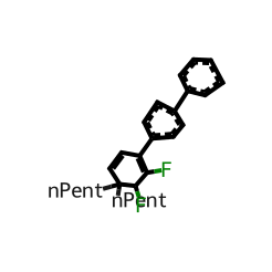 CCCCCC1(CCCCC)C=CC(c2ccc(-c3ccccc3)cc2)=C(F)C1F